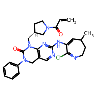 C=CC(=O)N1CC[C@@H](CN2C(=O)N(c3ccccc3)Cc3cnc(NC4=CC(C)CCN=C4Cl)nc32)C1